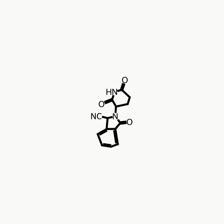 N#CC1c2ccccc2C(=O)N1C1CCC(=O)NC1=O